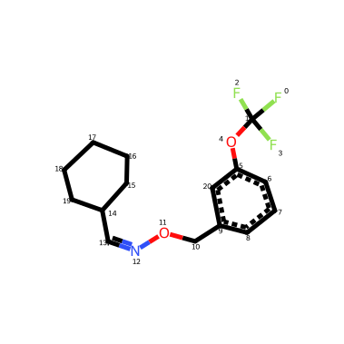 FC(F)(F)Oc1cccc(CO/N=[C]\C2CCCCC2)c1